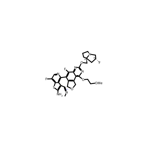 C/N=C\c1c(N)sc2c(F)cnc(-c3c4c(c5c(OCCOC)nc(OC[C@@]67CCCN6C[C@H](F)C7)nc5c3F)COC4)c12